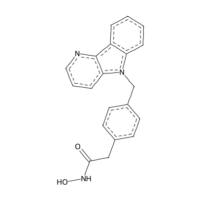 O=C(Cc1ccc(Cn2c3ccccc3c3ncccc32)cc1)NO